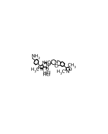 Cc1noc(C)c1-c1ccc(CN2CCC(O)(Cn3cnc4c(-c5ccc(CN)cc5)n(C)nc4c3=O)CC2)c(Cl)c1.Cl.Cl